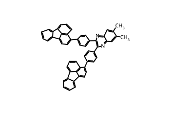 Cc1cc2nc(-c3ccc(-c4ccc5c6c(cccc46)-c4ccccc4-5)cc3)c(-c3ccc(-c4ccc5c6c(cccc46)-c4ccccc4-5)cc3)nc2cc1C